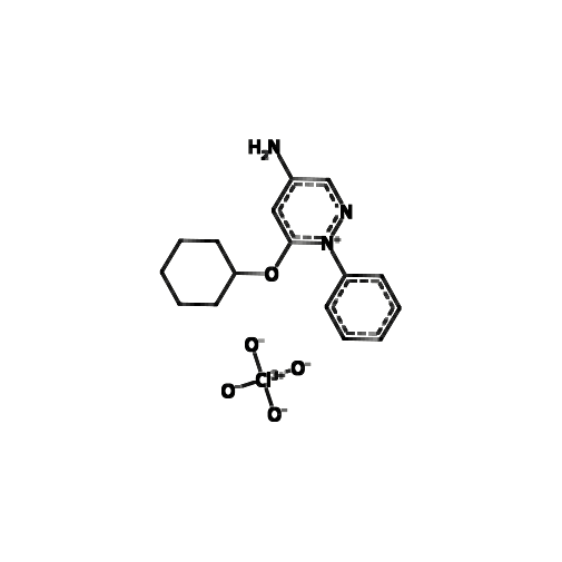 Nc1cn[n+](-c2ccccc2)c(OC2CCCCC2)c1.[O-][Cl+3]([O-])([O-])[O-]